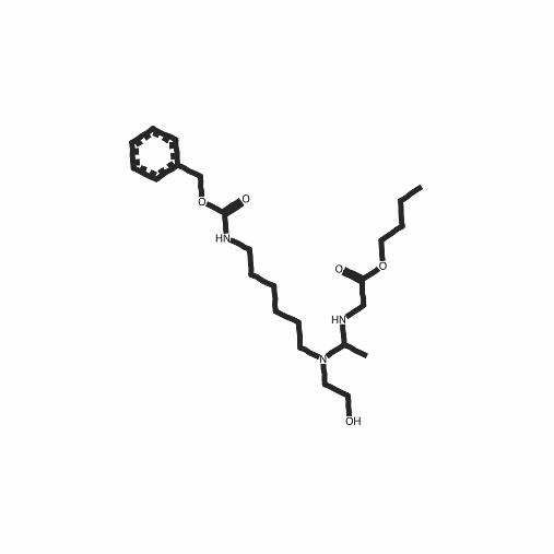 CCCCOC(=O)CNC(C)N(CCO)CCCCCCNC(=O)OCc1ccccc1